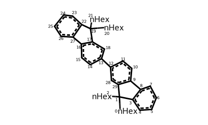 CCCCCCC1(CCCCCC)c2ccccc2-c2ccc(-c3ccc4c(c3)C(CCCCCC)(CCCCCC)c3ccccc3-4)cc21